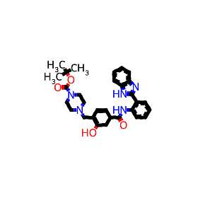 CC(C)(C)OC(=O)N1CCN(CC2=C(O)CC(C(=O)Nc3ccccc3-c3nc4ccccc4[nH]3)C=C2)CC1